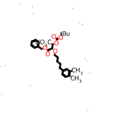 Cc1ccc(CCCCCO[C@@H](C(=O)OCc2ccccc2)[C@@H](OC(=O)OC(C)(C)C)C(=O)O)cc1C